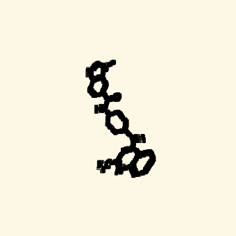 Cn1cnc2ccc(C(=O)NC3CCC(Nc4cc(C(F)(F)F)nc5ccccc45)CC3)cc21